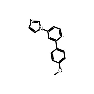 COc1ccc(-c2[c]ccc(-n3ccnc3)c2)cc1